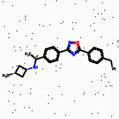 CC(C)Cc1ccc(-c2nc(-c3ccc([C@H](C)N[C@H]4C[C@@H](C)C4)cc3)no2)cc1